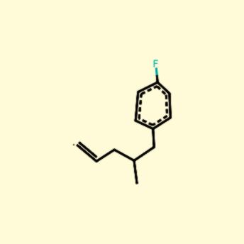 [CH]=CCC(C)Cc1ccc(F)cc1